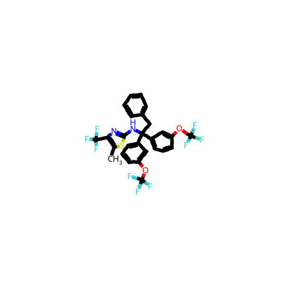 Cc1sc(NC(Cc2ccccc2)(c2cccc(OC(F)(F)F)c2)c2cccc(OC(F)(F)F)c2)nc1C(F)(F)F